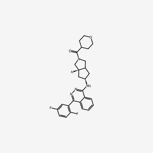 O=C(C1CCOCC1)N1CC2C[C@@H](Nc3nnc(-c4cc(F)ccc4F)c4ccccc34)C[C@@H]2C1